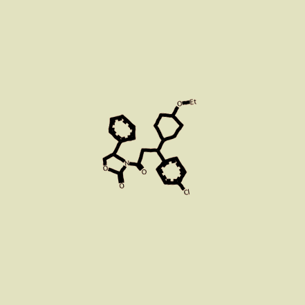 CCOC1CCC(C(CC(=O)N2C(=O)OCC2c2ccccc2)c2ccc(Cl)cc2)CC1